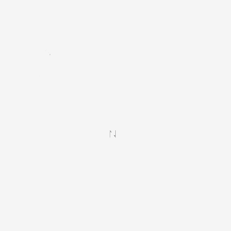 Cc1sccc1C=Nc1ccccc1